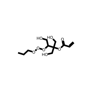 C=CC(=O)OC(CO)(CO)C(CO)OOOCCC